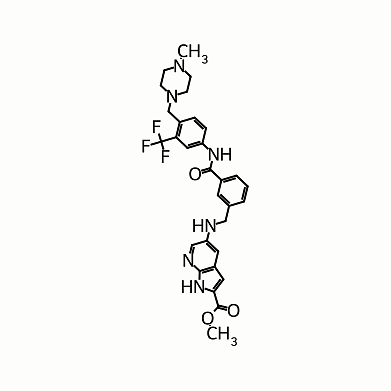 COC(=O)c1cc2cc(NCc3cccc(C(=O)Nc4ccc(CN5CCN(C)CC5)c(C(F)(F)F)c4)c3)cnc2[nH]1